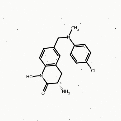 CN(Cc1ccc2c(c1)C[C@H](N)C(=O)N2O)c1ccc(Cl)cc1